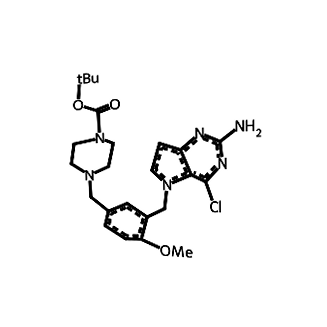 COc1ccc(CN2CCN(C(=O)OC(C)(C)C)CC2)cc1Cn1ccc2nc(N)nc(Cl)c21